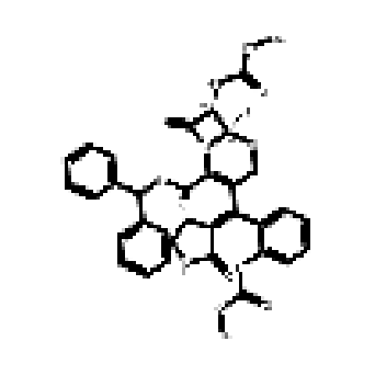 CC(C)(C)OC(=O)N[C@@H]1C(=O)N2C(C(=O)OC(c3ccccc3)c3ccccc3)=C(C(=C3CCNC3=O)c3ccccc3OC(=O)OC(C)(C)C)CS[C@H]12